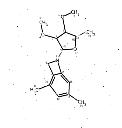 COC1C(OC)[C@@H](N2Cc3c(C)cc(C)cc32)O[C@H]1C